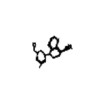 Cc1cc(C=O)cc(-c2ccc(C#N)c3ncccc23)c1